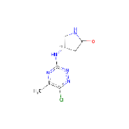 Cc1nc(N[C@@H]2CNC(=O)C2)nnc1Cl